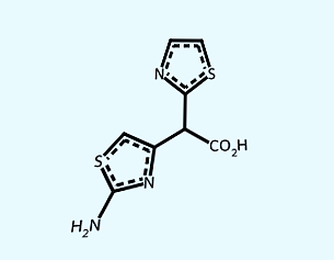 Nc1nc(C(C(=O)O)c2nccs2)cs1